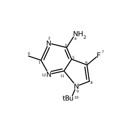 Cc1nc(N)c2c(F)cn(C(C)(C)C)c2n1